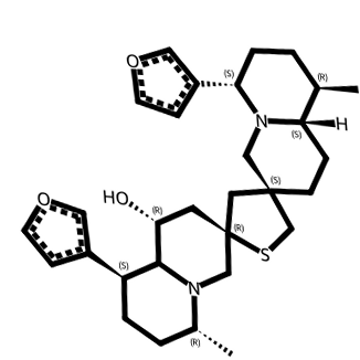 C[C@@H]1CC[C@@H](c2ccoc2)N2C[C@@]3(CC[C@@H]12)CS[C@@]1(C[C@@H](O)C2[C@H](c4ccoc4)CC[C@@H](C)N2C1)C3